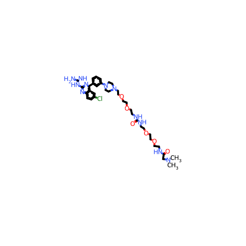 CN(C)CC(=O)NCCOCCOCCNC(=O)NCCOCCOCCN1CCN(c2cccc(-c3nc(NC(=N)N)nc4ccc(Cl)cc34)c2)CC1